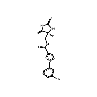 CC(C)[C@]1(CNC(=O)c2cnn(-c3cccc(C#N)c3)n2)NC(=O)NC1=O